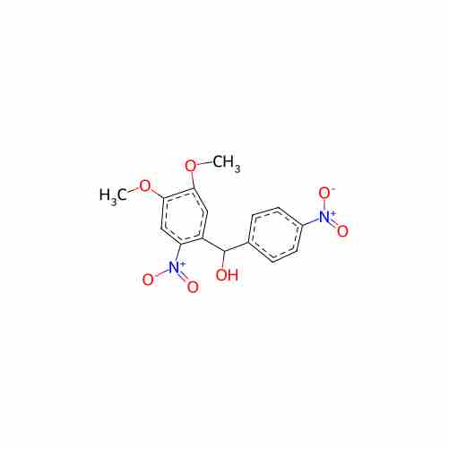 COc1cc(C(O)c2ccc([N+](=O)[O-])cc2)c([N+](=O)[O-])cc1OC